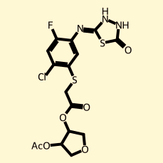 CC(=O)OC1COCC1OC(=O)CSc1cc(/N=c2/[nH][nH]c(=O)s2)c(F)cc1Cl